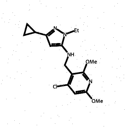 CCn1nc(C2CC2)cc1NCc1c(Cl)cc(OC)nc1OC